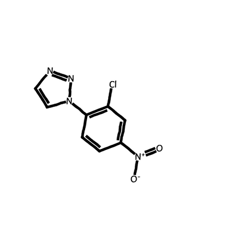 O=[N+]([O-])c1ccc(-n2ccnn2)c(Cl)c1